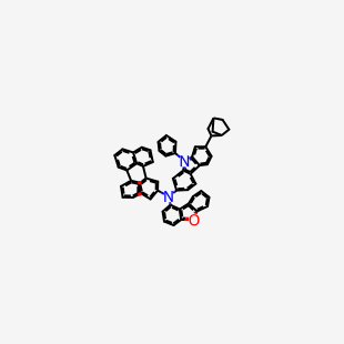 c1ccc(-c2cccc3cccc(-c4cccc(N(c5ccc6c7ccc(C8CC9CCC8C9)cc7n(-c7ccccc7)c6c5)c5cccc6oc7ccccc7c56)c4)c23)cc1